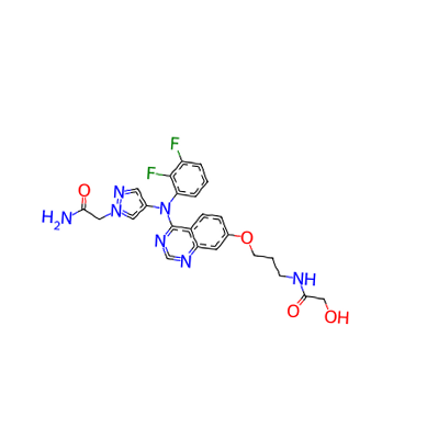 NC(=O)Cn1cc(N(c2cccc(F)c2F)c2ncnc3cc(OCCCNC(=O)CO)ccc23)cn1